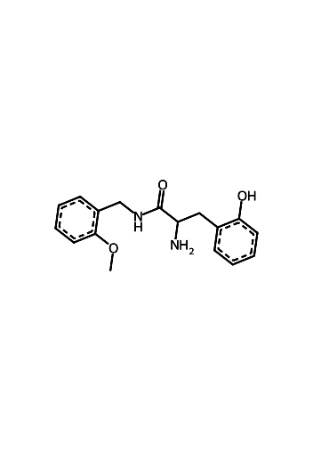 COc1ccccc1CNC(=O)C(N)Cc1ccccc1O